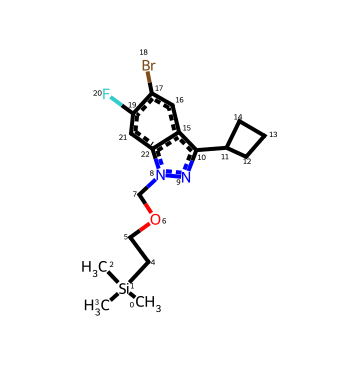 C[Si](C)(C)CCOCn1nc(C2CCC2)c2cc(Br)c(F)cc21